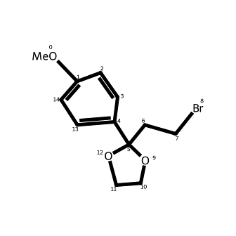 COc1ccc(C2(CCBr)OCCO2)cc1